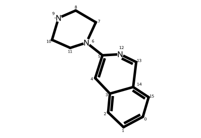 c1ccc2cc(N3CC[N]CC3)ncc2c1